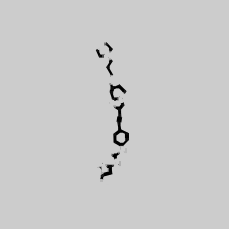 CC(C)(C)c1cc(NC(=O)Nc2ccc(C#Cc3cn4ccc(OCCCN5CCOCC5)cc4n3)cc2)no1